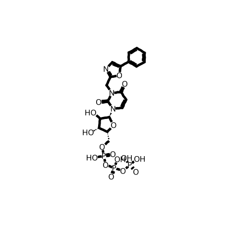 O=c1ccn([C@@H]2O[C@H](COP(=O)(O)OP(=O)(O)OP(=O)(O)O)[C@H](O)C2O)c(=O)n1Cc1ncc(-c2ccccc2)o1